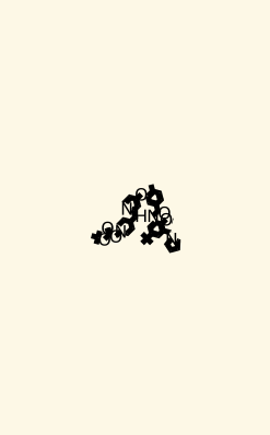 COc1c(CN2CCCC2)cc(C(C)(C)C)cc1NC(=O)c1ccc(C)c(Oc2ccnc(CC3CCN(OC(=O)OC(C)(C)C)CC3)c2)c1